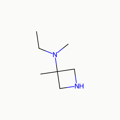 CCN(C)C1(C)CNC1